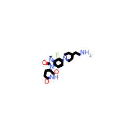 Cn1c(=O)n(C2CCC(=O)NC2=O)c2ccc(N3CCC(CCN)CC3)c(F)c21